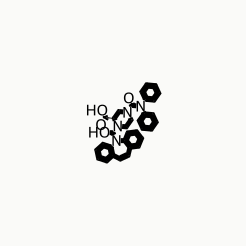 O=C(O)[C@@H]1CN(C(=O)N(c2ccccc2)c2ccccc2)CCN1C(O)N1c2ccccc2C=Cc2ccccc21